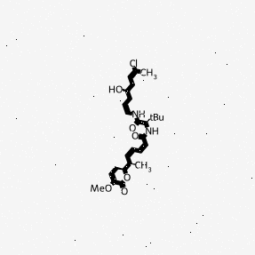 COC1=CC[C@@H]([C@@H](C)/C=C\C=C/C(=O)N[C@H](C(=O)N/C=C\C[C@@H](O)C/C=C(\C)Cl)C(C)(C)C)OC1=O